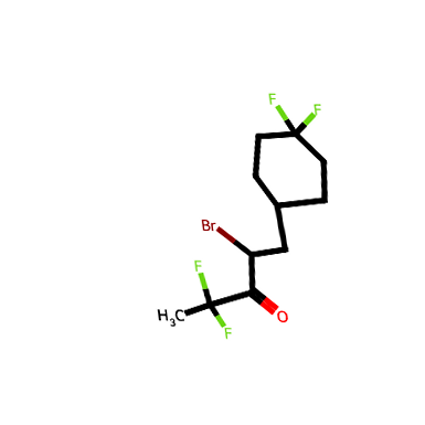 CC(F)(F)C(=O)C(Br)CC1CCC(F)(F)CC1